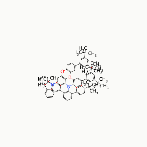 CC(C)(C)c1ccc(-c2cccc(-c3ccc(C(C)(C)C)cc3)c2N2c3ccc(-c4cc(C(C)(C)C)cc(C(C)(C)C)c4)cc3B3c4cc(-c5cc(C(C)(C)C)cc(C(C)(C)C)c5)ccc4Oc4cc(-n5c6ccccc6c6ccccc65)cc2c43)cc1